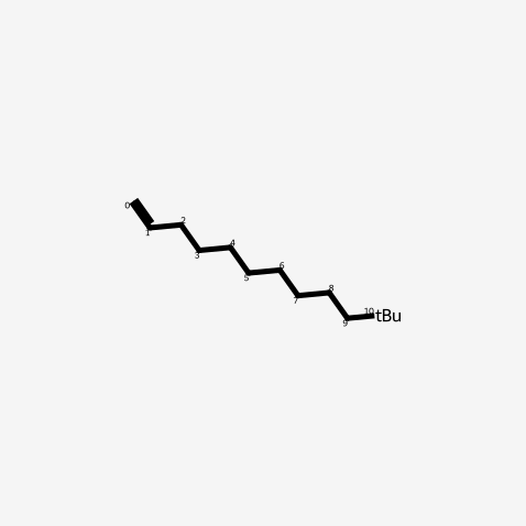 C=CCCCCCCCCC(C)(C)C